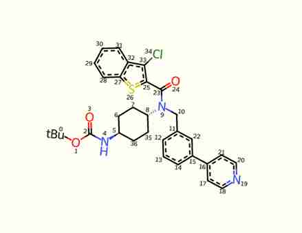 CC(C)(C)OC(=O)N[C@H]1CC[C@H](N(Cc2cccc(-c3ccncc3)c2)C(=O)c2sc3ccccc3c2Cl)CC1